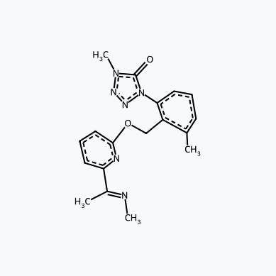 CN=C(C)c1cccc(OCc2c(C)cccc2-n2nnn(C)c2=O)n1